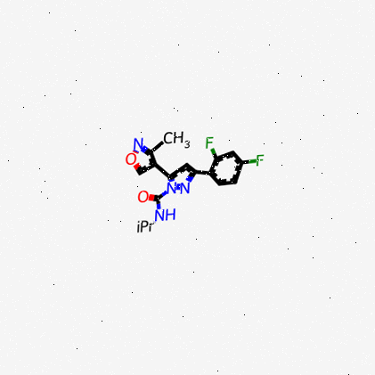 Cc1nocc1-c1cc(-c2ccc(F)cc2F)nn1C(=O)NC(C)C